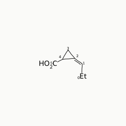 CCC=C1CC1C(=O)O